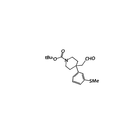 CSc1cccc(C2(CC=O)CCN(C(=O)OC(C)(C)C)CC2)c1